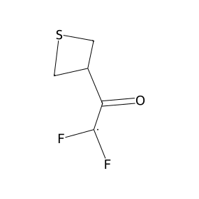 O=C([C](F)F)C1CSC1